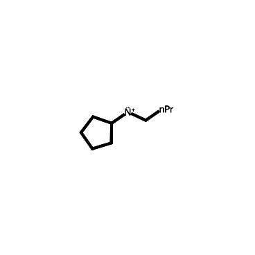 CCCC[N+]C1CCCC1